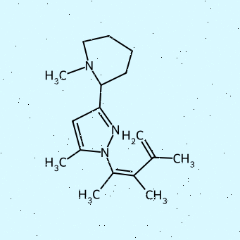 C=C(C)/C(C)=C(/C)n1nc(C2CCCCN2C)cc1C